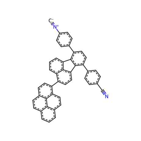 [C-]#[N+]c1ccc(-c2ccc(-c3ccc(C#N)cc3)c3c2-c2cccc4c(-c5ccc6ccc7cccc8ccc5c6c78)ccc-3c24)cc1